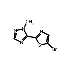 Cn1ncnc1-c1ncc(Br)s1